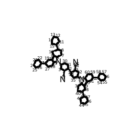 N#Cc1cc(-n2c3ccc(-c4ccccc4)cc3c3cc(-c4ccccc4)ccc32)ccc1-c1ccc(-n2c3ccc(-c4ccccc4)cc3c3cc(-c4ccccc4)ccc32)cc1C#N